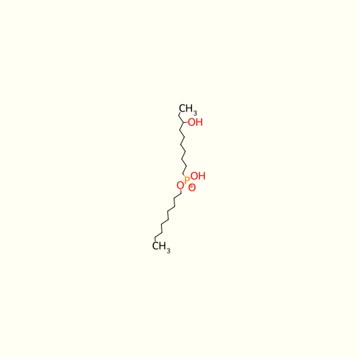 CCCCCCCCCOP(=O)(O)CCCCCCCC(O)CC